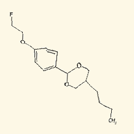 CCCCC1COC(c2ccc(OCCF)cc2)OC1